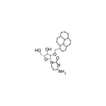 Nc1ccn([C@@H]2O[C@H](CO)C(O)C2OCc2ccc3ccc4cccc5ccc2c3c45)c(=O)n1